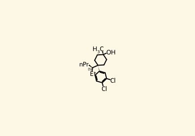 CCC[C@H](CC)[C@]1(c2ccc(Cl)c(Cl)c2)CC[C@@](C)(O)CC1